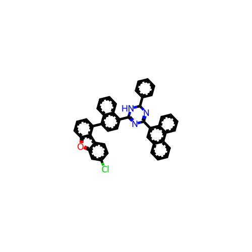 Clc1ccc2c(c1)oc1cccc(-c3ccc(C4=NC(c5cc6ccccc6c6ccccc56)=NC(c5ccccc5)N4)c4ccccc34)c12